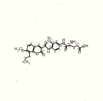 CCCc1c(OC)ccc2cc(C(=O)Nc3ccc(NC(=O)[C@H](N)CCC(=O)O)cc3C)c(=O)oc12